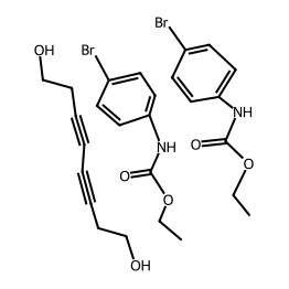 CCOC(=O)Nc1ccc(Br)cc1.CCOC(=O)Nc1ccc(Br)cc1.OCCC#CC#CCCO